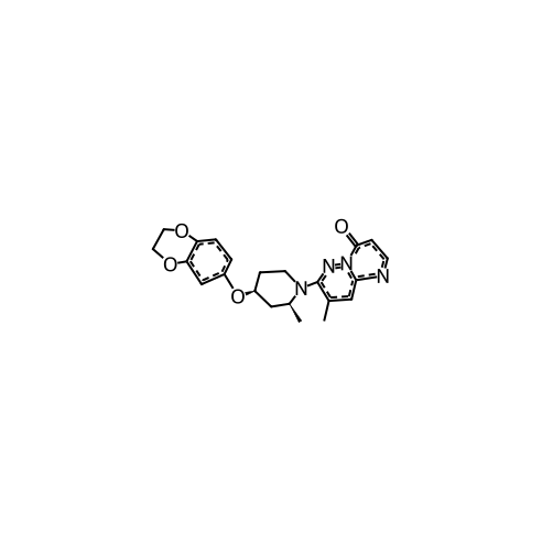 Cc1cc2nccc(=O)n2nc1N1CC[C@H](Oc2ccc3c(c2)OCCO3)C[C@@H]1C